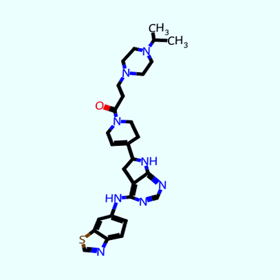 CC(C)N1CCN(CCC(=O)N2CC=C(C3Cc4c(Nc5ccc6ncsc6c5)ncnc4N3)CC2)CC1